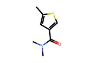 Cc1cc(C(=O)N(C)C)cs1